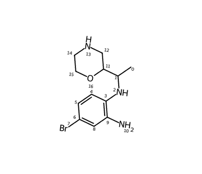 CC(Nc1ccc(Br)cc1N)C1CNCCO1